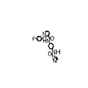 O=C(N[C@H]1CC[C@@H](NC(=O)n2ccnc2)CC1)c1cccnc1Oc1ccc(F)cc1